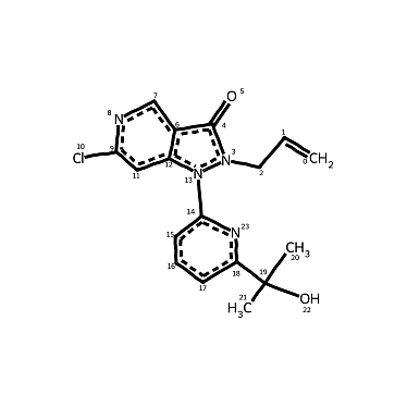 C=CCn1c(=O)c2cnc(Cl)cc2n1-c1cccc(C(C)(C)O)n1